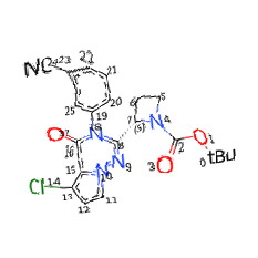 CC(C)(C)OC(=O)N1CC[C@H]1c1nn2ccc(Cl)c2c(=O)n1-c1cccc(C#N)c1